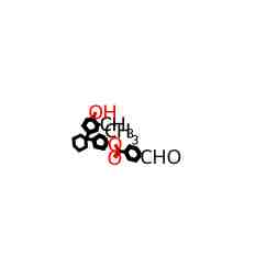 Cc1cc(C2(c3ccc(OC(=O)c4ccc(C=O)cc4)c(C)c3)CCCCC2)ccc1O